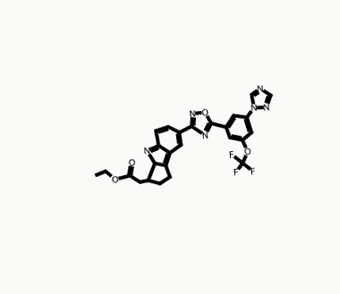 CCOC(=O)CC1CCC2=c3cc(-c4noc(-c5cc(OC(F)(F)F)cc(-n6cncn6)c5)n4)ccc3=NC21